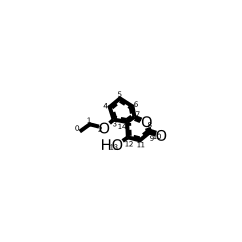 CCOc1cccc2oc(=O)cc(O)c12